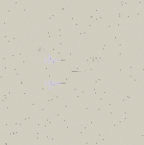 CNCC(CNC(C)C)CNC(C)C